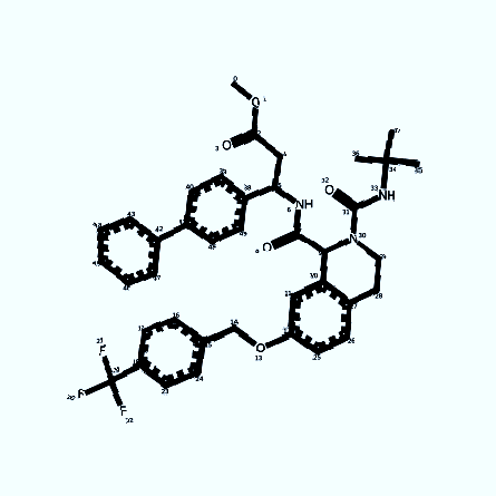 COC(=O)CC(NC(=O)C1c2cc(OCc3ccc(C(F)(F)F)cc3)ccc2CCN1C(=O)NC(C)(C)C)c1ccc(-c2ccccc2)cc1